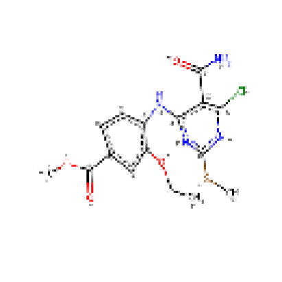 CCOc1cc(C(=O)OC)ccc1Nc1nc(SC)nc(Cl)c1C(N)=O